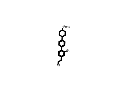 CCCCCC1CCC(c2ccc(-c3ccc(CCO)cc3CC)cc2)CC1